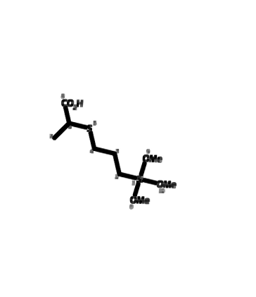 CO[Si](CCCSC(C)C(=O)O)(OC)OC